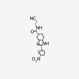 N#CCCNC(=O)c1ccc2[nH]c(-c3ccc([N+](=O)[O-])s3)nc2c1